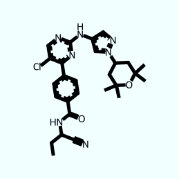 CCC(C#N)NC(=O)c1ccc(-c2nc(Nc3cnn(C4CC(C)(C)OC(C)(C)C4)c3)ncc2Cl)cc1